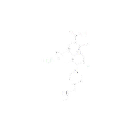 CCNCC1CCN(c2c(F)cn3c(=O)c(C(=O)O)cc(C4CC4)c3c2C)CC1.Cl